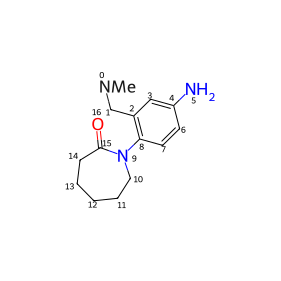 CNCc1cc(N)ccc1N1CCCCCC1=O